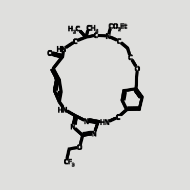 CCOC(=O)N1CCCOc2ccc(cc2)CNc2nc(nc(OCC(F)(F)F)n2)Nc2ccc(cc2)C(=O)NCC(C)(C)C1